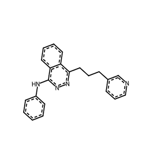 c1ccc(Nc2nnc(CCCc3cccnc3)c3ccccc23)cc1